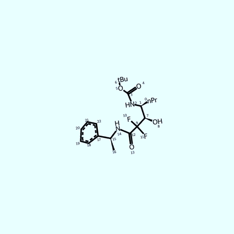 CCC[C@H](NC(=O)OC(C)(C)C)[C@@H](O)C(F)(F)C(=O)N[C@@H](C)c1ccccc1